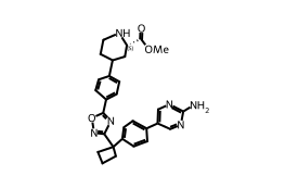 COC(=O)[C@@H]1CC(c2ccc(-c3nc(C4(c5ccc(-c6cnc(N)nc6)cc5)CCC4)no3)cc2)CCN1